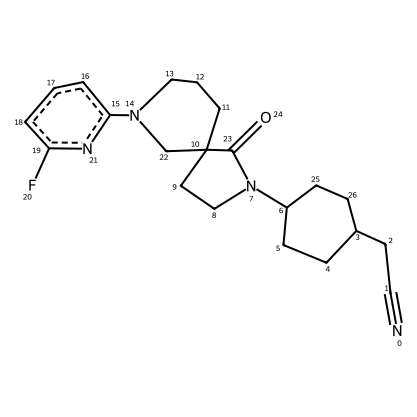 N#CCC1CCC(N2CCC3(CCCN(c4cccc(F)n4)C3)C2=O)CC1